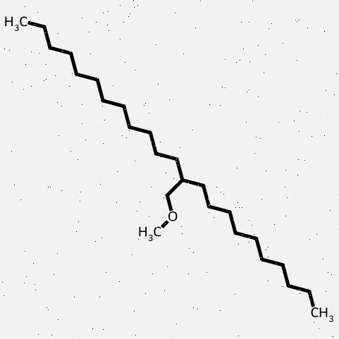 CCCCCCCCCCCCC(CCCCCCCCCC)COC